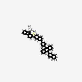 CC1(C)c2ccccc2-c2ccc3c(sc4cc5ccc(-c6ccc(-c7c8ccccc8c(-c8ccc9ccccc9c8)c8ccccc78)cc6)cc5cc43)c21